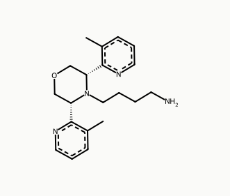 Cc1cccnc1[C@H]1COC[C@@H](c2ncccc2C)N1CCCCN